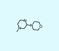 CN1CC[N]C(N2CCOCC2)C1